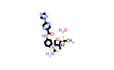 CC(F)(F)[C@H]1OC[C@]2(c3cc(NC(=O)c4cnc(-n5cncn5)cn4)ccc3F)N=C(N)SC[C@H]12.O